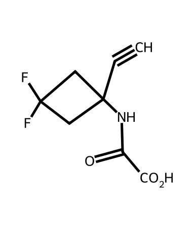 C#CC1(NC(=O)C(=O)O)CC(F)(F)C1